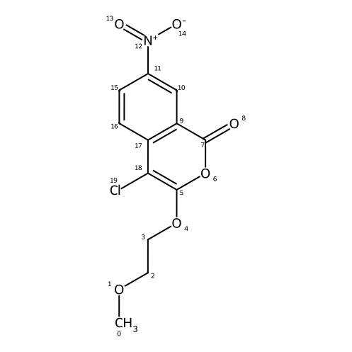 COCCOc1oc(=O)c2cc([N+](=O)[O-])ccc2c1Cl